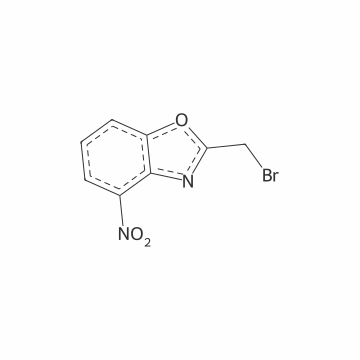 O=[N+]([O-])c1cccc2oc(CBr)nc12